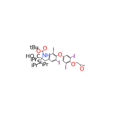 CC(C)[Si](C(C)C)(C(C)C)C(Cc1cc(I)c(Oc2cc(I)c(OCC3CO3)c(I)c2)c(I)c1)(NC(=O)OC(C)(C)C)C(=O)O